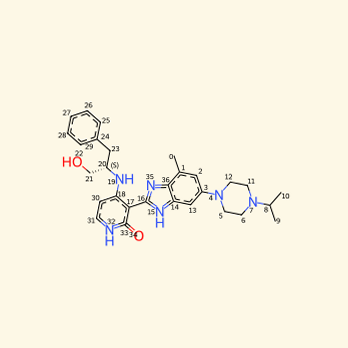 Cc1cc(N2CCN(C(C)C)CC2)cc2[nH]c(-c3c(N[C@H](CO)Cc4ccccc4)cc[nH]c3=O)nc12